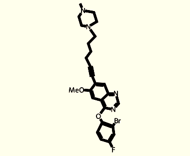 COc1cc2c(Oc3ccc(F)cc3Br)ncnc2cc1C#CCCCCN1CCN(C)CC1